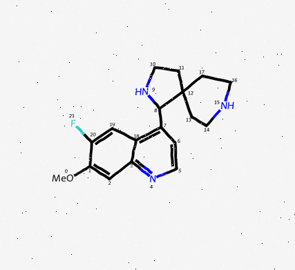 COc1cc2nccc(C3NCCC34CCNCC4)c2cc1F